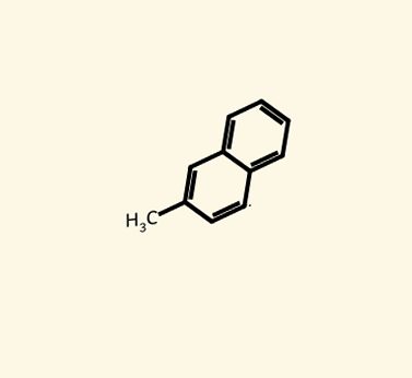 Cc1c[c]c2ccccc2c1